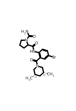 C[C@@H]1C[C@H](C)CN(C(=O)c2cc(Br)ccc2NC(=O)C2CCCN2C(N)=O)C1